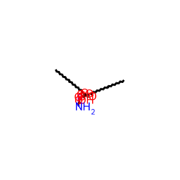 CCCCCCCCC=CCCCCCCCC(=O)OC[C@H](COP(=O)(O)OCCN)OC(=O)CCCCCCCC=CCCCCCCCC